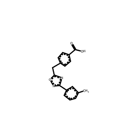 Cc1cccc(-c2noc(Cc3ccc(C(=O)O)cc3)n2)c1